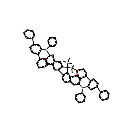 C[Si](C)(C)C1([Si](C)(C)C)c2cc3cc(N(c4ccccc4)c4cc(-c5ccccc5)ccc4-c4ccccc4)ccc3cc2-c2ccc3cc(N(c4ccccc4)c4cc(-c5ccccc5)ccc4-c4ccccc4)ccc3c21